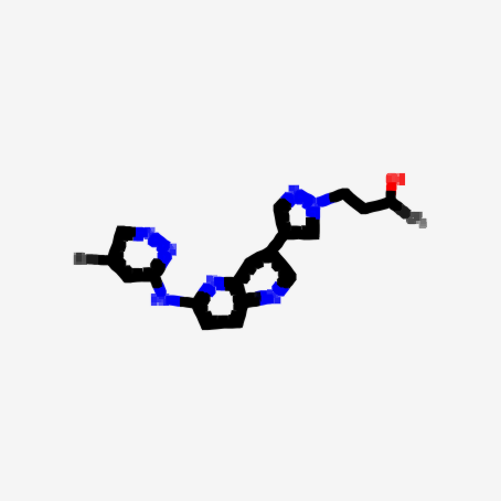 CC(C)c1cnnc(Nc2ccc3ncc(-c4cnn(CCC(O)C(F)(F)F)c4)cc3n2)c1